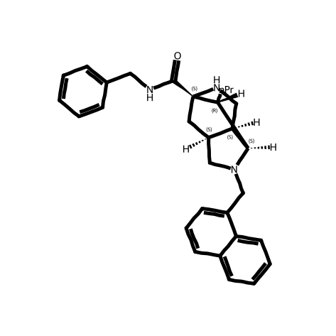 CCC[C@@H]1[C@@H]2[C@@H]3CN[C@@]1(C(=O)NCc1ccccc1)C[C@@H]3CN2Cc1cccc2ccccc12